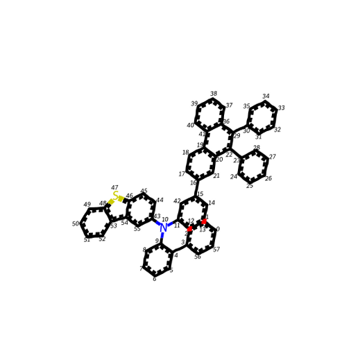 c1ccc(-c2ccccc2N(c2cccc(-c3ccc4c(c3)c(-c3ccccc3)c(-c3ccccc3)c3ccccc34)c2)c2ccc3sc4ccccc4c3c2)cc1